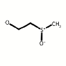 C[S+]([O-])CC[O]